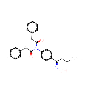 O=C(O)CC/C(=N\O)c1ccc(N(C(=O)Cc2ccccc2)C(=O)Cc2ccccc2)cc1